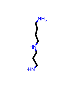 [NH]CCCNCCCCN